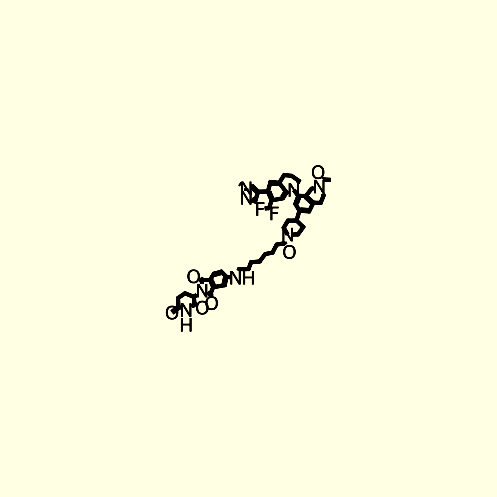 CC(=O)N1CCc2cc(C3CCN(C(=O)CCCCCCCNc4ccc5c(c4)C(=O)N(C4CCC(=O)NC4=O)C5=O)CC3)cc(N3CCCc4cc(-c5cnn(C)c5)c(C(F)F)cc43)c2C1